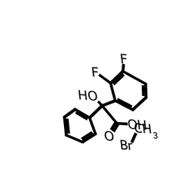 CBr.O=C(O)C(O)(c1ccccc1)c1cccc(F)c1F